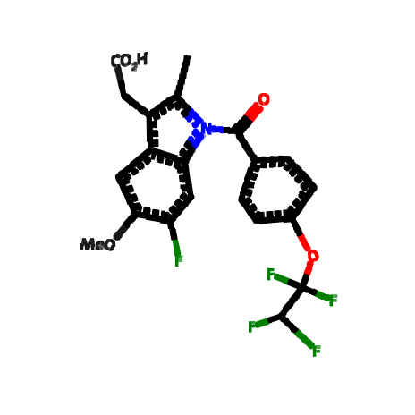 COc1cc2c(CC(=O)O)c(C)n(C(=O)c3ccc(OC(F)(F)C(F)F)cc3)c2cc1F